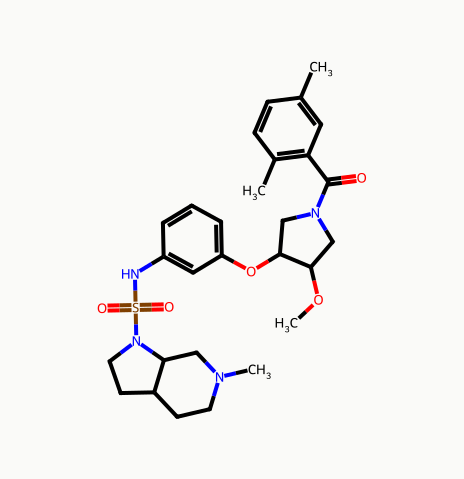 COC1CN(C(=O)c2cc(C)ccc2C)CC1Oc1cccc(NS(=O)(=O)N2CCC3CCN(C)CC32)c1